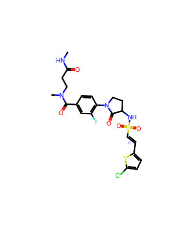 CNC(=O)CCN(C)C(=O)c1ccc(N2CCC(NS(=O)(=O)/C=C/c3ccc(Cl)s3)C2=O)c(F)c1